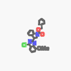 COc1cccc2c(Cl)nc(C3CN(C(=O)OCc4ccccc4)c4ccccc43)nc12